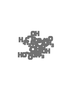 CC(=O)O.CCC(=O)O.C[C@]12C=CC(=O)C=C1CC[C@@H]1[C@@H]2[C@@H](O)C[C@@]2(C)[C@H]1CC[C@]2(O)C(=O)CO